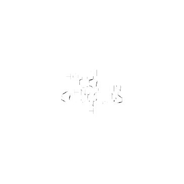 CNc1cccc(CCOC(=O)NC(COCc2ccccc2)C(=O)NC(CC(=O)O)c2cc(Cl)cc(Cl)c2)n1